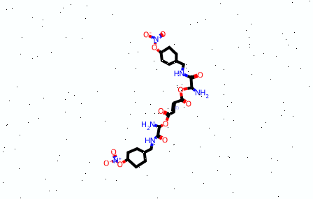 NC(OC(=O)/C=C/C(=O)OC(N)C(=O)NCC1CCC(O[N+](=O)[O-])CC1)C(=O)NCC1CCC(O[N+](=O)[O-])CC1